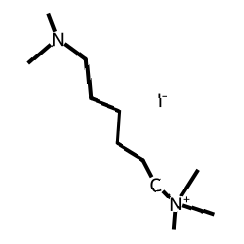 CN(C)CCCCCC[N+](C)(C)C.[I-]